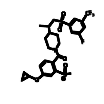 CC(CS(=O)(=O)c1cc(F)cc(C(F)(F)F)c1)C1CCN(C(=O)c2ccc(OC3CC3)cc2S(C)(=O)=O)CC1